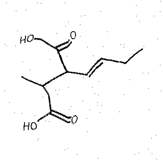 CCC=CC(C(=O)O)C(C)C(=O)O